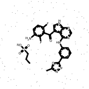 CCCS(=O)(=O)O.Cc1nnc(-c2cccc(Nc3ncnc4[nH]cc(C(=O)c5c(F)ccc(N)c5F)c34)c2)o1